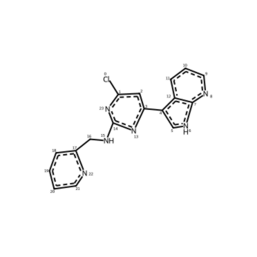 Clc1cc(-c2c[nH]c3ncccc23)nc(NCc2ccccn2)n1